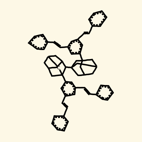 C(=C\c1cc(/C=C/c2ccccc2)cc(C23CC4CC(C2)CC(C2C5CC6CC(C5)CC2(c2cc(/C=C/c5ccccc5)cc(/C=C/c5ccccc5)c2)C6)(C4)C3)c1)/c1ccccc1